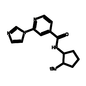 CC(C)(C)C1CCCC1NC(=O)c1ccnc(-n2ccnc2)c1